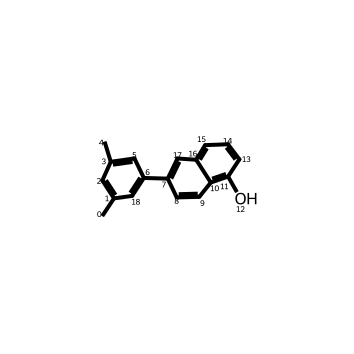 Cc1cc(C)cc(-c2ccc3c(O)cccc3c2)c1